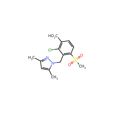 Cc1cc(C)n(Cc2c(S(C)(=O)=O)ccc(C(=O)O)c2Cl)n1